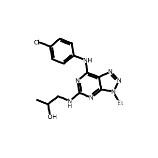 CCn1nnc2c(Nc3ccc(Cl)cc3)nc(NCC(C)O)nc21